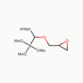 CCCCCCCC(OCC1CO1)[Si](OC)(OC)OC